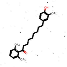 CC(=O)Oc1cc(CCCCCCCCC(=O)c2c(OC(C)=O)cccc2OC(C)=O)ccc1O